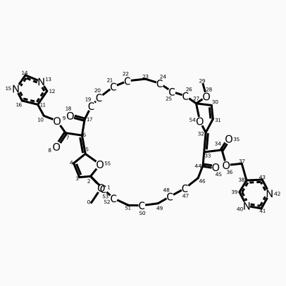 COC12C=C/C(=C(/C(=O)OCc3cncnc3)C(=O)CCCCCCCCC3(OC)C=C/C(=C(\C(=O)OCc4cncnc4)C(=O)CCCCCCCC1)O3)O2